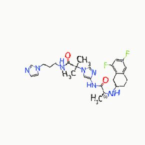 C[C@H](NC1CCc2cc(F)cc(F)c2C1)C(=O)Nc1cn(C(C)(C)C(=O)NCCCn2ccnc2)cn1